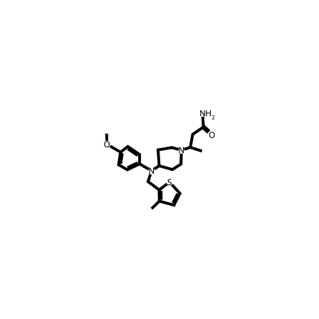 COc1ccc(N(Cc2sccc2C)C2CCN(C(C)CC(N)=O)CC2)cc1